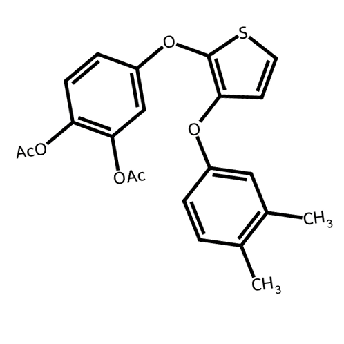 CC(=O)Oc1ccc(Oc2sccc2Oc2ccc(C)c(C)c2)cc1OC(C)=O